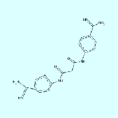 N=C(N)c1ccc(NC(=O)CC(=O)Nc2ccc(C(=N)N)cc2)cc1